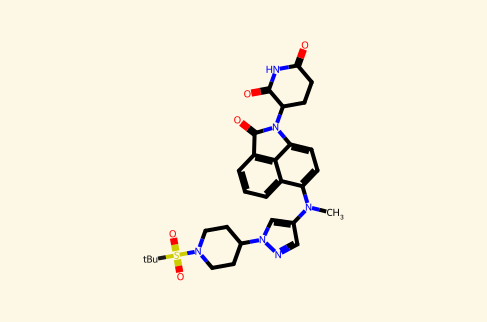 CN(c1cnn(C2CCN(S(=O)(=O)C(C)(C)C)CC2)c1)c1ccc2c3c(cccc13)C(=O)N2C1CCC(=O)NC1=O